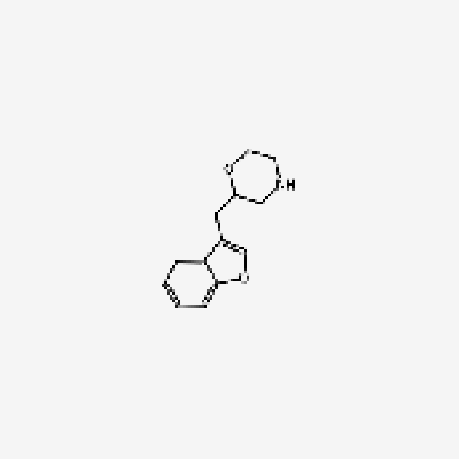 c1ccc2c(CC3CNCCO3)coc2c1